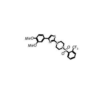 COc1ccc(-c2csc(N3CCN(S(=O)(=O)c4ccccc4C(F)(F)F)CC3)n2)cc1OC